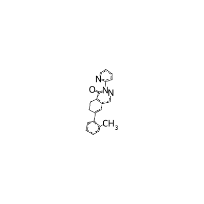 Cc1ccccc1C1=Cc2cnn(-c3ccccn3)c(=O)c2CC1